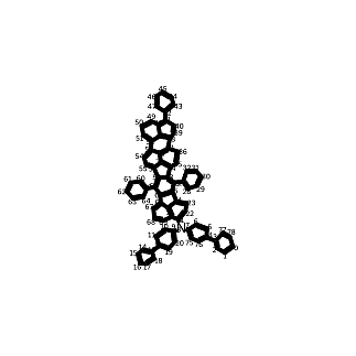 c1ccc(-c2ccc(N(c3ccc(-c4ccccc4)cc3)c3ccc4c5c(-c6ccccc6)c6c7ccc8c9ccc(-c%10ccccc%10)c%10cccc(c%11ccc(c6c(-c6ccccc6)c5c5cccc3c54)c7c%118)c%109)cc2)cc1